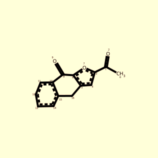 CC(=O)c1cc2c(o1)C(=O)c1ccccc1C2